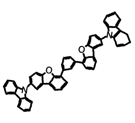 C1=Cc2c(c3ccccc3n2-c2ccc3oc4c(-c5cccc(-c6cccc7c6oc6ccc(-n8c9ccccc9c9ccccc98)cc67)c5)cccc4c3c2)CC1